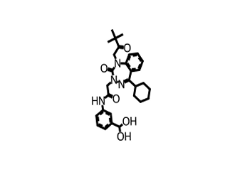 CC(C)(C)C(=O)CN1C(=O)N(CC(=O)Nc2cccc(C(O)O)c2)N=C(C2CCCCC2)c2ccccc21